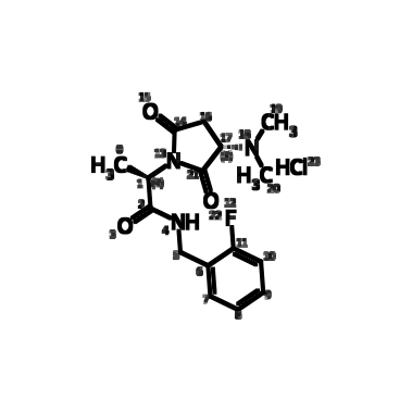 C[C@H](C(=O)NCc1ccccc1F)N1C(=O)C[C@H](N(C)C)C1=O.Cl